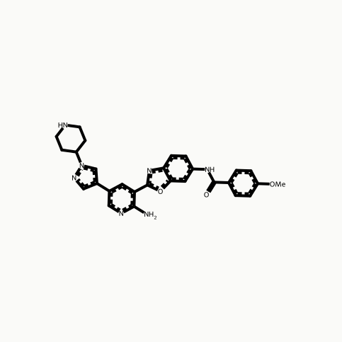 COc1ccc(C(=O)Nc2ccc3nc(-c4cc(-c5cnn(C6CCNCC6)c5)cnc4N)oc3c2)cc1